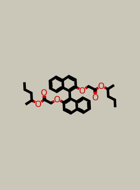 CCCC(C)OC(=O)COc1ccc2ccccc2c1-c1c(OCC(=O)OC(C)CCC)ccc2ccccc12